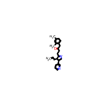 C=CCC1C(c2cccnc2)=CN=C1CCC(=O)Cc1ccc(C)cc1C